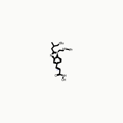 CC(Cc1nc2cc(/C=C/C(=O)NO)ccc2n1CCNC(C)C)CC(C)(C)C